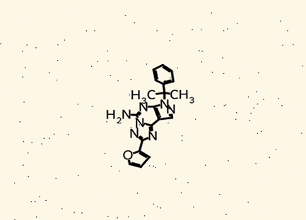 CC(C)(c1ccccc1)n1ncc2c1nc(N)n1nc(-c3ccco3)nc21